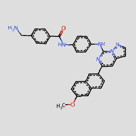 COc1ccc2cc(-c3cc4ccnn4c(Nc4ccc(NC(=O)c5ccc(CN)cc5)cc4)n3)ccc2c1